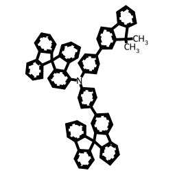 CC1(C)c2ccccc2-c2ccc(-c3ccc(N(c4ccc(-c5ccc6c(c5)C5(c7ccccc7-c7ccccc75)c5ccccc5-6)cc4)c4cccc5c4-c4ccccc4C54c5ccccc5-c5ccccc54)cc3)cc21